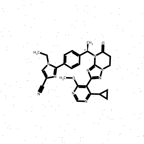 CCn1cc(C#N)nc1-c1ccc([C@@H](C)N2C(=O)CCn3nc(-c4c(OC)ncnc4C4CC4)nc32)cc1